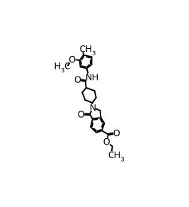 CCOC(=O)c1ccc2c(c1)CN(C1CCC(C(=O)Nc3ccc(C)c(OC)c3)CC1)C2=O